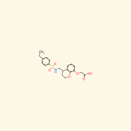 CCc1ccc(S(=O)(=O)NCC2CCOc3c(OCC(=O)O)cccc32)cc1